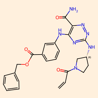 C=CC(=O)N1CC[C@@H](Nc2nnc(C(N)=O)c(Nc3cccc(C(=O)OCc4ccccc4)c3)n2)C1